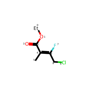 CCOC(=O)C(C)=C(F)CCl